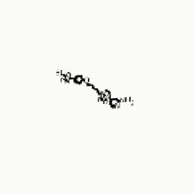 CCc1nnc(-c2ccc(OCCCCCN3CCN(c4ccnc(N)c4)S3(=O)=O)cc2)o1